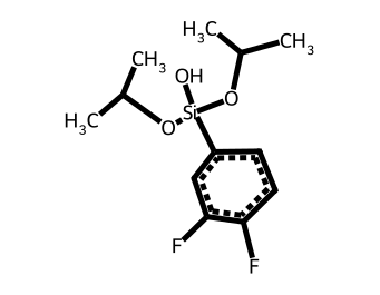 CC(C)O[Si](O)(OC(C)C)c1ccc(F)c(F)c1